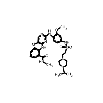 CNC(=O)c1ccccc1Nc1nc(Nc2ccc(NS(=O)(=O)CCN3CCN(C(C)C)CC3)cc2OC)ncc1Cl